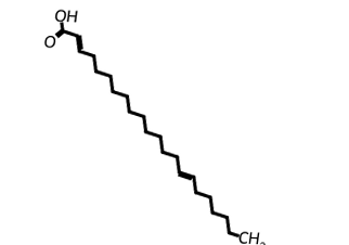 CCCCCCC=CCCCCCCCCCCCC=CC(=O)O